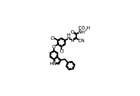 N#CC(=NNc1cc(Cl)c(Oc2ccc3[nH]cc(Cc4ccccc4)c3c2)c(Cl)c1)C(=O)NC(=O)O